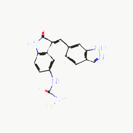 CC(C)NC(=O)Nc1ccc2c(c1)/C(=C\c1ccc3cn[nH]c3c1)C(=O)N2